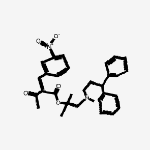 CC(=O)/C(=C/c1cccc([N+](=O)[O-])c1)C(=O)OC(C)(C)CN(C)CCC(c1ccccc1)c1ccccc1